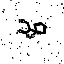 CC1(C(C=O)CO)C=CC=CN1